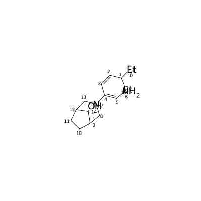 CCC(/C=C\C(=C/N)N1CC2CCC(C1)C2O)CC